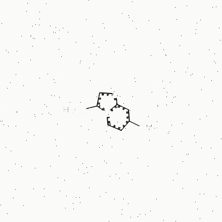 CSc1ccn2c(C(=O)O)cnc2c1